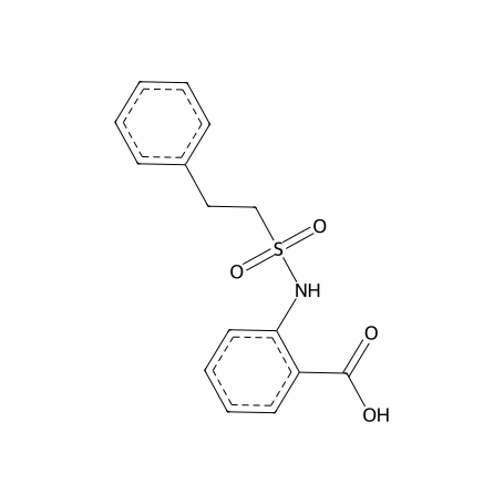 O=C(O)c1ccccc1NS(=O)(=O)CCc1ccccc1